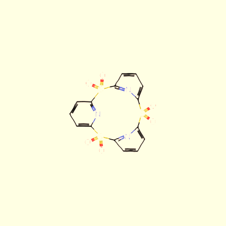 O=S1(=O)c2cccc(n2)S(=O)(=O)c2cccc(n2)S(=O)(=O)c2cccc1n2